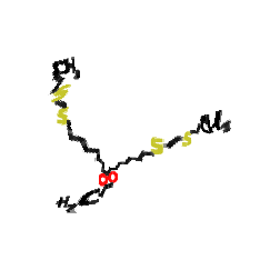 [CH2]CC1COC(CCCCCCCCSCCSCCCC)(CCCCCCCCSCCSCCCC)O1